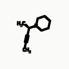 CC#C[C@@H](C)N1CCCCC1